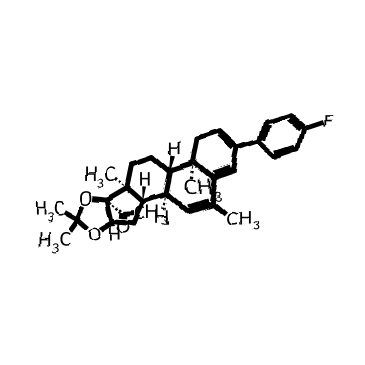 CC(=O)[C@@]12OC(C)(C)O[C@H]1C[C@H]1[C@@H]3C=C(C)C4=CC(c5ccc(F)cc5)=CC[C@]4(C)[C@H]3CC[C@@]12C